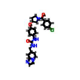 O=C(NCc1ccn2ccnc2c1)Nc1ccc(O[C@@H]2CCN(C(=O)c3ccc(Cl)cc3)C2)cc1